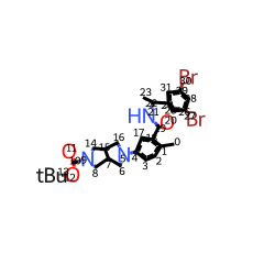 Cc1ccc(N2CC3CN(C(=O)OC(C)(C)C)CC3C2)cc1C(=O)NC(C)c1cc(Br)cc(Br)c1